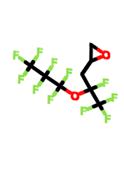 FC(F)(F)C(F)(CC1CO1)OC(F)(F)C(F)(F)C(F)(F)F